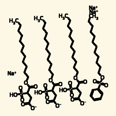 CCCCCCCCCCCCOC(=O)C(CC(=O)[O-])S(=O)(=O)O.CCCCCCCCCCCCOC(=O)C(CC(=O)[O-])S(=O)(=O)O.CCCCCCCCCCCCOC(=O)C(CC(=O)[O-])S(=O)(=O)O.CCCCCCCCCCCCOS(=O)(=O)c1ccccc1.[Na+].[Na+].[Na+]